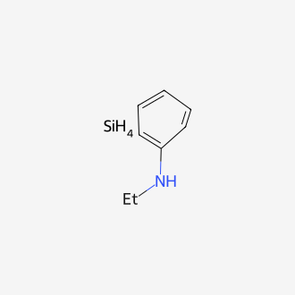 CCNc1ccccc1.[SiH4]